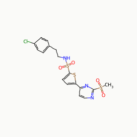 CS(=O)(=O)c1nccc(-c2ccc(S(=O)(=O)NCCc3ccc(Cl)cc3)s2)n1